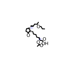 CCCOC(C)C/C=C/[C@H]1CCC(=O)[C@@H]1CCCC/C=C(\OC(C)=O)C(=O)O